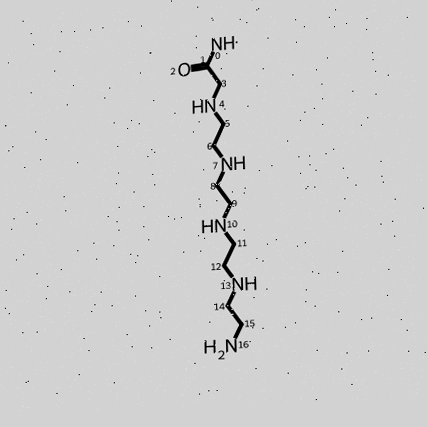 [NH]C(=O)CNCCNCCNCCNCCN